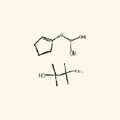 CC(C)(O)C(C)(C)O.OB(O)OC1=CCCC1